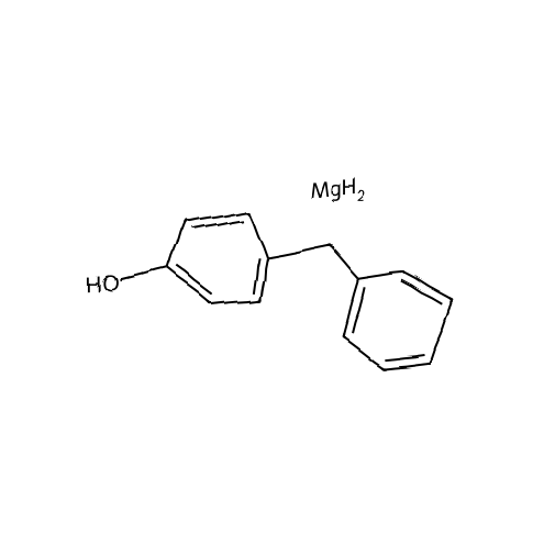 Oc1ccc(Cc2ccccc2)cc1.[MgH2]